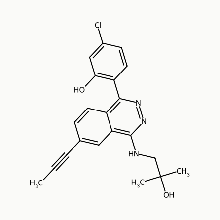 CC#Cc1ccc2c(-c3ccc(Cl)cc3O)nnc(NCC(C)(C)O)c2c1